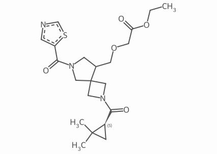 CCOC(=O)COCC1CN(C(=O)c2cncs2)CC12CN(C(=O)[C@H]1CC1(C)C)C2